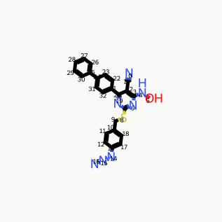 N#Cc1c(NO)nc(SCc2ccc(N=[N+]=[N-])cc2)nc1-c1ccc(-c2ccccc2)cc1